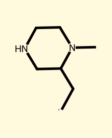 [CH2]CC1CNCCN1C